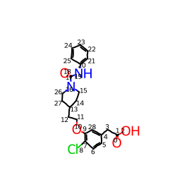 O=C(O)Cc1ccc(Cl)c(OCCC2CCN(C(=O)Nc3ccccc3)CC2)c1